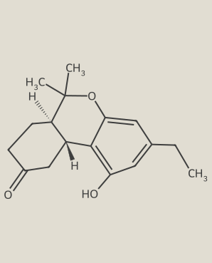 CCc1cc(O)c2c(c1)OC(C)(C)[C@@H]1CCC(=O)C[C@@H]21